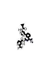 C=N/C(C)=C(\C=C(/C)NC(=O)c1ccnc(C(F)F)c1)c1cccc(-c2cc(NC(=O)C3CC3)ncn2)c1